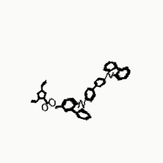 C=CC1CC(C=C)C(C(=O)OCc2ccc3c(c2)c2ccccc2n3-c2ccc(-c3ccc(-n4c5ccccc5c5ccccc54)cc3)cc2)C1